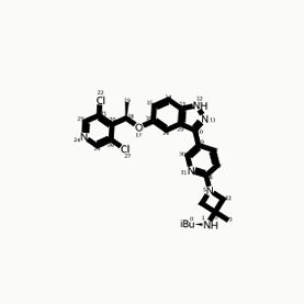 CC[C@@H](C)NC1(C)CN(c2ccc(-c3n[nH]c4ccc(O[C@H](C)c5c(Cl)cncc5Cl)cc34)cn2)C1